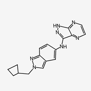 c1cnc2c(Nc3ccc4nn(CC5CCC5)cc4c3)n[nH]c2n1